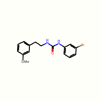 COc1cccc(CCNC(=O)Nc2cccc(Br)c2)c1